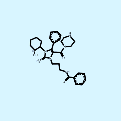 C=C1N(CCCNC(=O)c2ccccc2)C(C(=O)N2CCNCC2)=C(c2ccccc2)N1C1CCCC[C@@H]1O